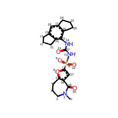 CN1CCCc2oc(S(=O)(=O)NC(=O)Nc3c4c(cc5c3CCC5)CCC4)cc2C1=O